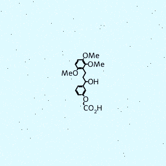 COc1ccc(OC)c(OC)c1CCC(O)c1cccc(OCC(=O)O)c1